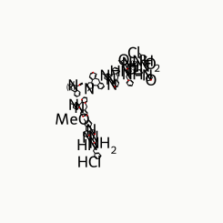 C#CCN(C)[C@H](C)Cc1ccccc1.CN1CCC2=C(C1)c1ccccc1Cc1ccccc12.CN1CCN2c3ccccc3Cc3ccccc3C2C1.CN1CCN2c3ncccc3Cc3ccccc3C2C1.COc1ccc2c(c1)c1c3n2CCN(C)C3=NCC1.Cc1cc(C(=O)NNCc2ccccc2)no1.Cl.NNCCc1ccccc1.N[C@@H]1C[C@H]1c1ccccc1.O=C(NCCN1CCOCC1)c1ccc(Cl)cc1